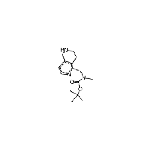 CN(Cc1nccc2c1CCNC2)C(=O)OC(C)(C)C